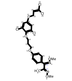 CO/N=C(C)/C(=N/OC)c1ccc(OCCCOc2c(Cl)cc(OCC=C(Cl)Cl)cc2Cl)cc1